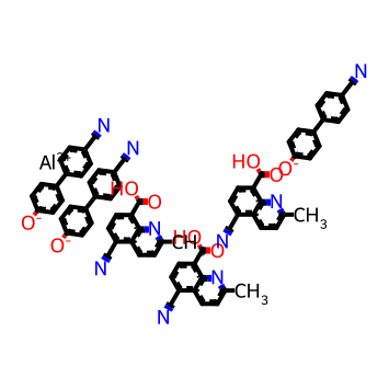 Cc1ccc2c(C#N)ccc(C(=O)O)c2n1.Cc1ccc2c(C#N)ccc(C(=O)O)c2n1.Cc1ccc2c(C#N)ccc(C(=O)O)c2n1.N#Cc1ccc(-c2ccc([O-])cc2)cc1.N#Cc1ccc(-c2ccc([O-])cc2)cc1.N#Cc1ccc(-c2ccc([O-])cc2)cc1.[Al+3]